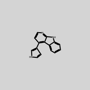 c1ccc2c(c1)[nH]c1nccc(-c3cc[nH]c3)c12